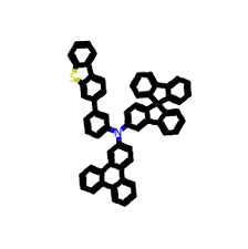 c1cc(-c2ccc3c(c2)sc2ccccc23)cc(N(c2ccc3c(c2)-c2ccccc2C32c3ccccc3-c3ccccc32)c2ccc3c4ccccc4c4ccccc4c3c2)c1